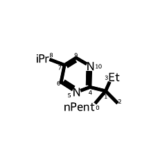 CCCCCC(C)(CC)c1ncc(C(C)C)cn1